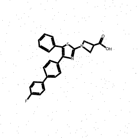 O=C(O)C1CN(c2nc(-c3ccc(-c4ccc(F)cc4)cc3)c(-c3ccccc3)s2)C1